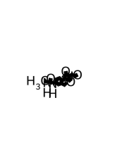 CNC(=O)Nc1ccc2c(c1)CC[C@@]21CC(=O)N(CC=O)C1=O